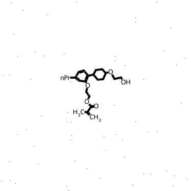 C=C(C)C(=O)OCCOc1cc(CCC)ccc1C1CCC(OCCO)CC1